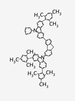 Cc1cc(C)c(-c2ccc3c(c2)c2cc(-c4ccc5c(c4)-c4cc(-n6c7ccc(-c8c(C)cc(C)cc8C)cc7c7cc(-c8c(C)cc(C)cc8C)ccc76)ccc4C5)ccc2n3-c2ccccc2)c(C)c1